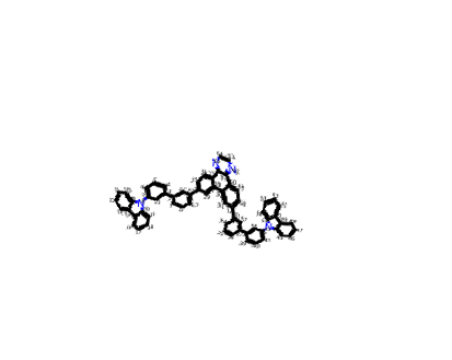 c1cc(-c2cccc(-n3c4ccccc4c4ccccc43)c2)cc(-c2ccc3c(c2)c2cc(-c4cccc(-c5cccc(-n6c7ccccc7c7ccccc76)c5)c4)ccc2c2nccnc32)c1